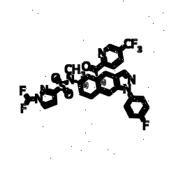 CN([C@H]1CCC2=Cc3c(cnn3-c3ccc(F)cc3)C[C@]2(C(=O)c2ccc(C(F)(F)F)cn2)C1)S(=O)(=O)c1ccn(C(F)F)n1